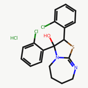 Cl.OC1(c2ccccc2Cl)C(c2ccccc2Cl)SC2=NCCCCN21